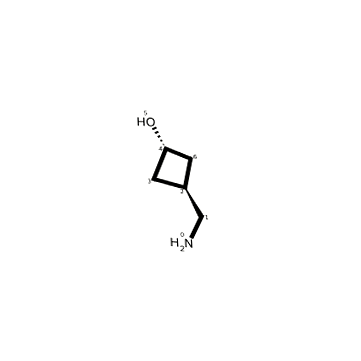 NC[C@H]1C[C@H](O)C1